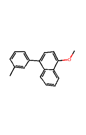 COc1ccc(-c2cccc(C)c2)c2ccccc12